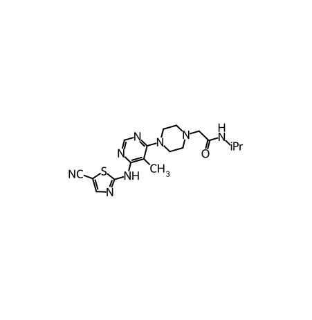 Cc1c(Nc2ncc(C#N)s2)ncnc1N1CCN(CC(=O)NC(C)C)CC1